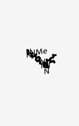 C=N/C=N\C(NC)=C(/C)C(=C)c1ccc(C(C)Nc2ncc(C=NC)nc2C(C)C(/C=C/C)=C/C=C(C)C)cc1